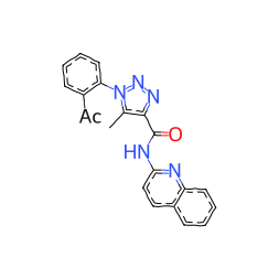 CC(=O)c1ccccc1-n1nnc(C(=O)Nc2ccc3ccccc3n2)c1C